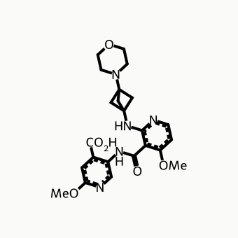 COc1cc(C(=O)O)c(NC(=O)c2c(OC)ccnc2NC23CC(N4CCOCC4)(C2)C3)cn1